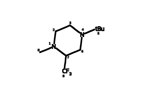 CN1CCN(C(C)(C)C)CC1C(F)(F)F